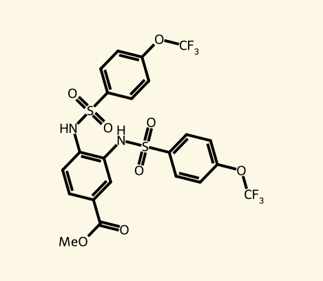 COC(=O)c1ccc(NS(=O)(=O)c2ccc(OC(F)(F)F)cc2)c(NS(=O)(=O)c2ccc(OC(F)(F)F)cc2)c1